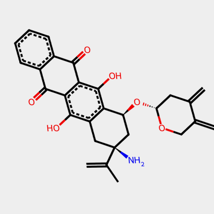 C=C1CO[C@H](O[C@H]2C[C@](N)(C(=C)C)Cc3c(O)c4c(c(O)c32)C(=O)c2ccccc2C4=O)CC1=C